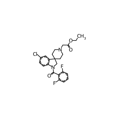 CCOC(=O)CN1CCC2(CC1)CN(C(=O)c1c(F)cccc1F)c1ccc(Cl)cc12